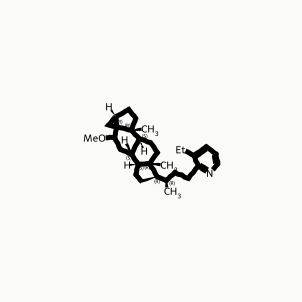 CCc1cccnc1CC[C@@H](C)[C@H]1CC[C@H]2[C@@H]3CC(OC)C45C[C@H]4CC[C@]5(C)[C@H]3CC[C@]12C